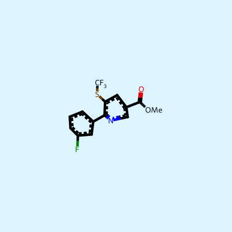 COC(=O)c1cnc(-c2cccc(F)c2)c(SC(F)(F)F)c1